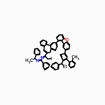 CCC(c1ccccc1)c1ccc(-c2ccc3oc4cccc(-c5ccc6c(c5)-c5ccccc5C=C(/C(CI)=N/C(=N\[C@@H](C)c5ccccc5)c5ccccc5)C6)c4c3c2)cc1-c1ccccc1C